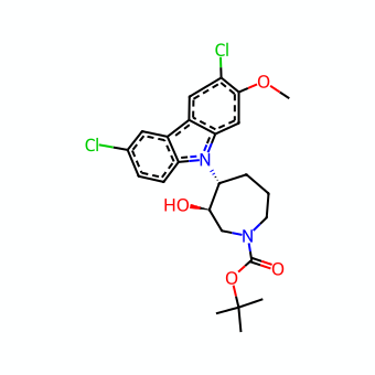 COc1cc2c(cc1Cl)c1cc(Cl)ccc1n2[C@@H]1CCCN(C(=O)OC(C)(C)C)C[C@H]1O